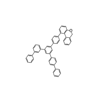 c1ccc(-c2ccc(-c3cc(-c4ccc(-c5cccc6c5-c5ccccc5CO6)cc4)cc(-c4cccc(-c5ccccc5)c4)c3)cc2)cc1